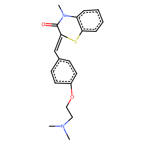 CN(C)CCOc1ccc(C=C2Sc3ccccc3N(C)C2=O)cc1